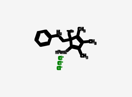 CCCCCC1=C(C)C(C)=C(C)[C]1([Ti+3])C[SiH2]c1ccccc1.[Cl-].[Cl-].[Cl-]